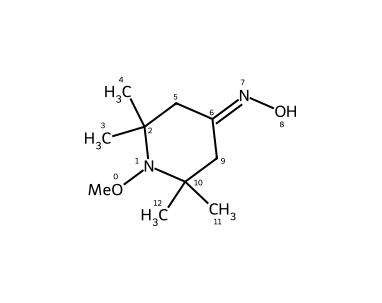 CON1C(C)(C)CC(=NO)CC1(C)C